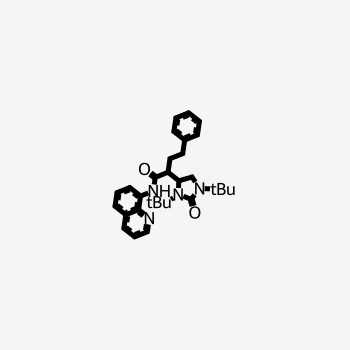 CC(C)(C)N1CC(C(CCc2ccccc2)C(=O)Nc2cccc3cccnc23)N(C(C)(C)C)C1=O